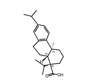 CC(C)c1ccc2c(c1)CC[C@@H]1[C@]2(C)CCC[C@@]1(C(=O)O)C(C)C